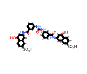 O=C(Nc1cccc(C(=O)Nc2cc(O)c3ccc(S(=O)(=O)O)cc3c2)c1)Nc1cccc(C(=O)Nc2cc(O)c3ccc(S(=O)(=O)O)cc3c2)c1